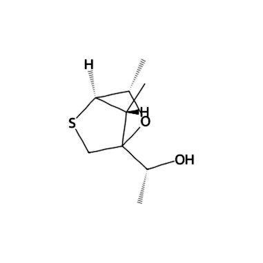 C[C@@H]1OC2([C@@H](C)O)CS[C@@H]1[C@@H]2C